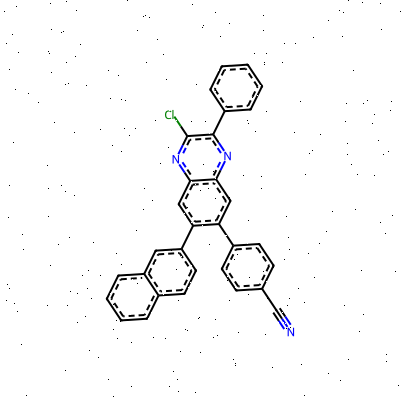 N#Cc1ccc(-c2cc3nc(-c4ccccc4)c(Cl)nc3cc2-c2ccc3ccccc3c2)cc1